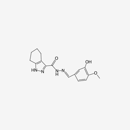 COc1ccc(/C=N/NC(=O)c2n[nH]c3c2CCCC3)cc1O